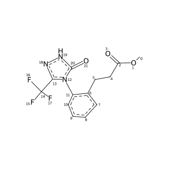 COC(=O)CCc1ccccc1-n1c(C(F)(F)F)n[nH]c1=O